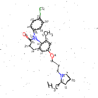 Cc1cc(OCCCN2CCC[C@H]2C)cc2c1N(c1ccc(F)cc1)C(=O)CC2